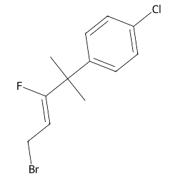 CC(C)(/C(F)=C/CBr)c1ccc(Cl)cc1